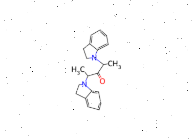 CC(C(=O)C(C)N1CCc2ccccc21)N1CCc2ccccc21